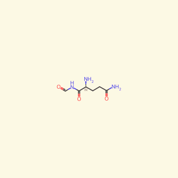 NC(=O)CC[C@H](N)C(=O)NC=O